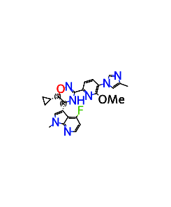 COc1nc(C2=NO[C@@H](C3CC3)[C@@H](c3cn(C)c4nccc(F)c34)N2)ccc1-n1cnc(C)c1